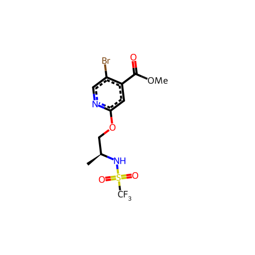 COC(=O)c1cc(OC[C@H](C)NS(=O)(=O)C(F)(F)F)ncc1Br